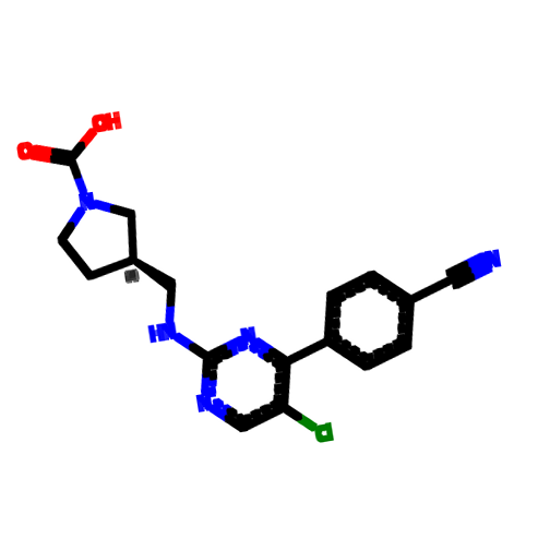 N#Cc1ccc(-c2nc(NC[C@H]3CCN(C(=O)O)C3)ncc2Cl)cc1